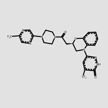 O=C(C[C@@H]1CN(c2cc(C(F)(F)F)c(=O)[nH]n2)c2ccccc2O1)N1CCN(c2cnc(C(F)(F)F)cn2)CC1